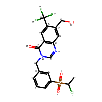 CC(Cl)S(=O)(=O)c1cccc(Cn2cnc3cc(CO)c(C(F)(F)F)cc3c2=O)c1